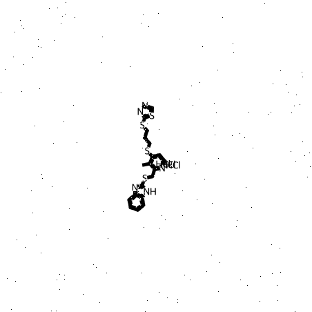 Cc1c(SCCCSc2nncs2)ccnc1CSc1nc2ccccc2[nH]1.Cl.Cl.Cl